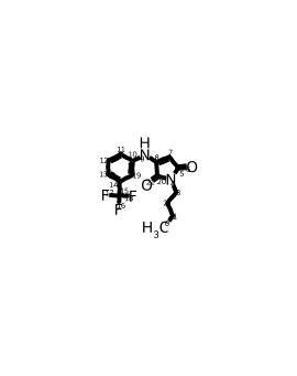 CCCCN1C(=O)C=C(Nc2cccc(C(F)(F)F)c2)C1=O